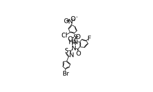 O=C(Nc1nc(-c2ccc(Br)cc2)cs1)c1ccc(F)cc1NS(=O)(=O)c1ccc([N+](=O)[O-])cc1Cl